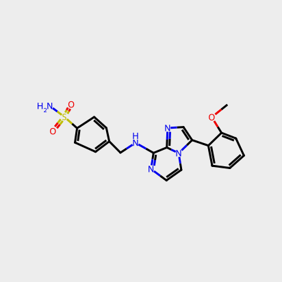 COc1ccccc1-c1cnc2c(NCc3ccc(S(N)(=O)=O)cc3)nccn12